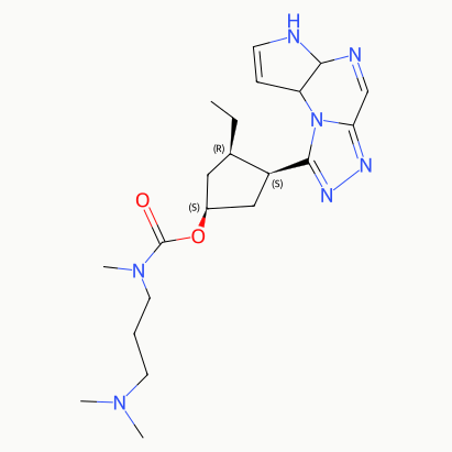 CC[C@@H]1C[C@H](OC(=O)N(C)CCCN(C)C)C[C@@H]1c1nnc2n1C1C=CNC1N=C2